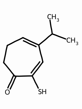 CC(C)C1=CCCC(=O)C(S)=C1